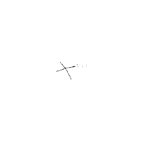 C[C](C)(C)[MgH]